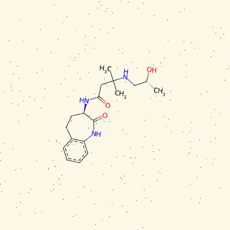 C[C@@H](O)CNC(C)(C)CC(=O)N[C@@H]1CCc2ccccc2NC1=O